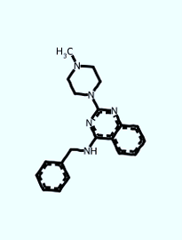 CN1CCN(c2nc(NCc3ccccc3)c3ccccc3n2)CC1